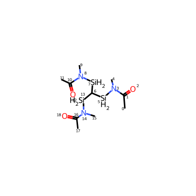 CC(=O)N(C)[SiH2]C([SiH2]N(C)C(C)=O)[SiH2]N(C)C(C)=O